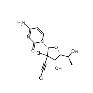 C[C@H](O)[C@H]1O[C@@H](n2ccc(N)nc2=O)C(Cl)(C#CCl)[C@H]1O